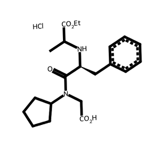 CCOC(=O)C(C)N[C@@H](Cc1ccccc1)C(=O)N(CC(=O)O)C1CCCC1.Cl